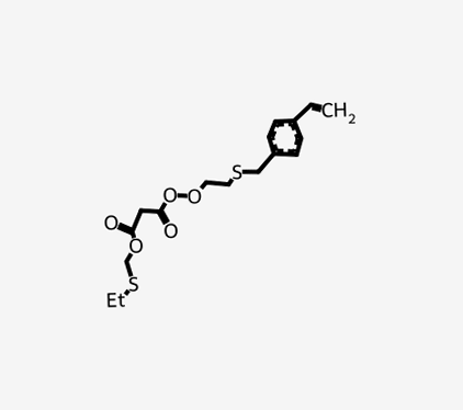 C=Cc1ccc(CSCCOOC(=O)CC(=O)OCSCC)cc1